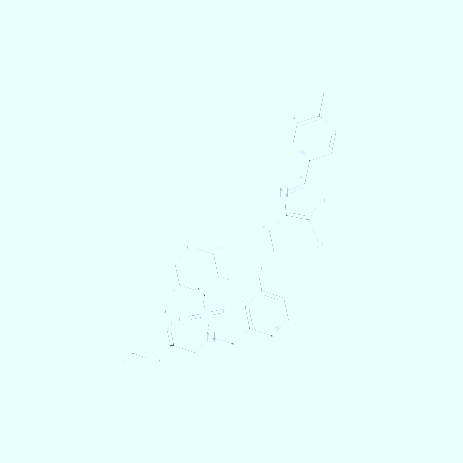 CCOC(=O)CN(Cc1cccc(OCCc2nc(-c3ccc(C)cc3)oc2C)c1)S(=O)(=O)N1CCOCC1